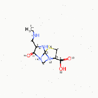 CNCC1NC23SCC(C(=O)O)N2CN3C1=O